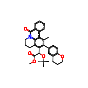 COC(=O)C(OC(C)(C)C)c1c(-c2ccc3c(c2)CCCO3)c(C)c2c3ccccc3c(=O)n3c2c1CCC3